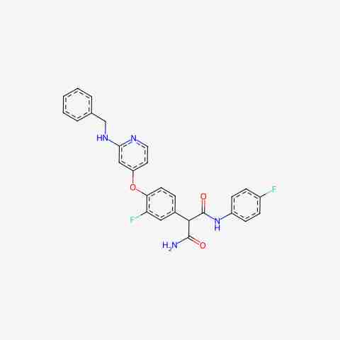 NC(=O)C(C(=O)Nc1ccc(F)cc1)c1ccc(Oc2ccnc(NCc3ccccc3)c2)c(F)c1